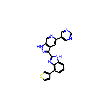 c1cc(-c2ccsc2)c2nc(-c3n[nH]c4cnc(-c5cncnc5)cc34)[nH]c2c1